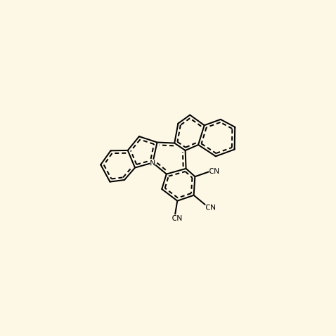 N#Cc1cc2c(c(C#N)c1C#N)c1c3ccccc3ccc1c1cc3ccccc3n12